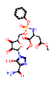 COC(=O)C[C@H](NP(=O)(OC[C@H]1O[C@@H](n2cnc(C(N)=O)c2O)C(=O)C1=O)Oc1ccccc1)C(=O)OC